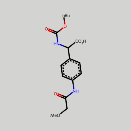 CCCCOC(=O)NC(C(=O)O)c1ccc(NC(=O)COC)cc1